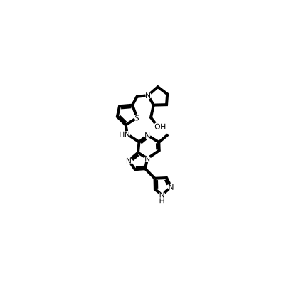 Cc1cn2c(-c3cn[nH]c3)cnc2c(Nc2ccc(CN3CCCC3CO)s2)n1